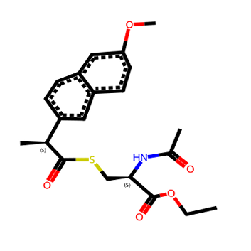 CCOC(=O)[C@@H](CSC(=O)[C@@H](C)c1ccc2cc(OC)ccc2c1)NC(C)=O